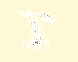 CC(Cc1ccc(-n2ccc(NC(=O)N3CCN(C(=O)C(C)(C)NC(=O)OC(C)(C)C)CC3)nc2=O)cc1)N1CC2C(CNC(=O)OC(C)(C)C)C2C1